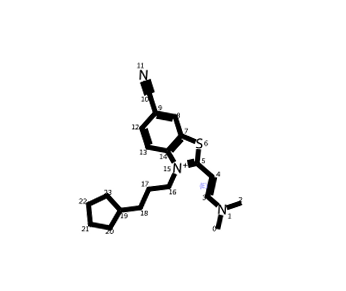 CN(C)/C=C/c1sc2cc(C#N)ccc2[n+]1CCCC1CCCC1